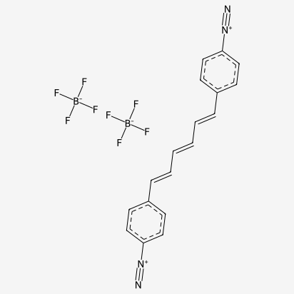 F[B-](F)(F)F.F[B-](F)(F)F.N#[N+]c1ccc(C=CC=CC=Cc2ccc([N+]#N)cc2)cc1